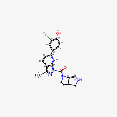 Cc1nn(C(=O)N2CCC3CNC=C32)c2nc(-c3ccc(O)c(F)c3)ccc12